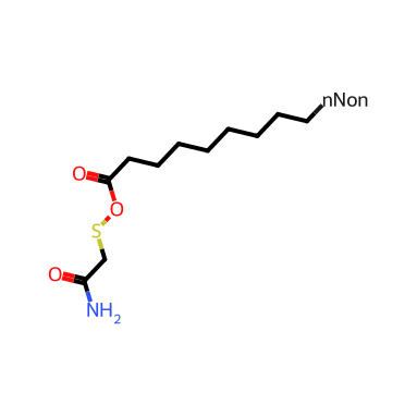 CCCCCCCCCCCCCCCCCC(=O)OSCC(N)=O